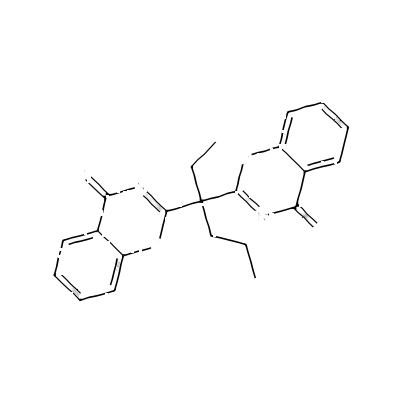 CCCC(CC)(c1nc(=O)c2ccccc2o1)c1nc(=O)c2ccccc2o1